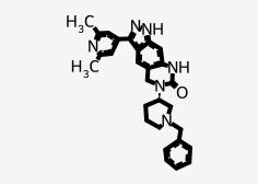 Cc1cc(-c2n[nH]c3cc4c(cc23)CN([C@H]2CCCN(Cc3ccccc3)C2)C(=O)N4)cc(C)n1